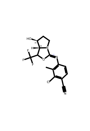 Cc1c(/N=C2\OC(C(F)(F)F)[C@@H]3[C@@H](O)CCN23)ccc(C#N)c1Cl